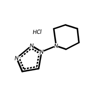 Cl.c1cn(N2CCCCC2)nn1